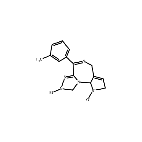 CCN1CN2C(=N1)C(c1cccc(C(F)(F)F)c1)=NCC1=CC[S+]([O-])C12